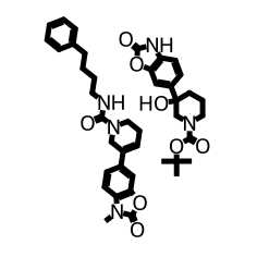 CC(C)(C)OC(=O)N1CCCC(O)(c2ccc3[nH]c(=O)oc3c2)C1.Cn1c(=O)oc2cc(C3=CCCN(C(=O)NCCCCc4ccccc4)C3)ccc21